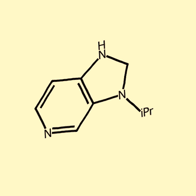 CC(C)N1CNc2ccncc21